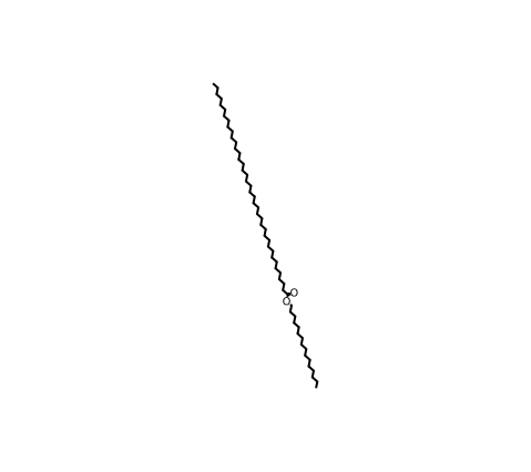 CCCCCCCCCCCCCCCCCCCCCCCCCCCCCCCCCCCCCCCC(=O)OCCCCCCCCCCCCCCCC